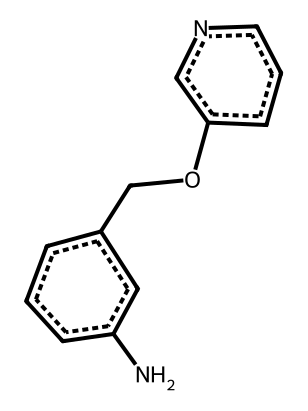 Nc1cccc(COc2cccnc2)c1